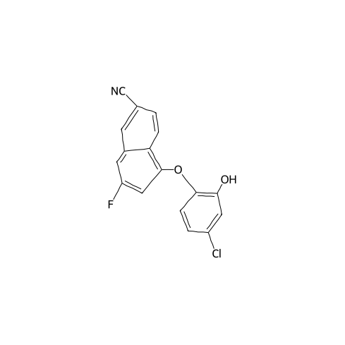 N#Cc1ccc2c(Oc3ccc(Cl)cc3O)cc(F)cc2c1